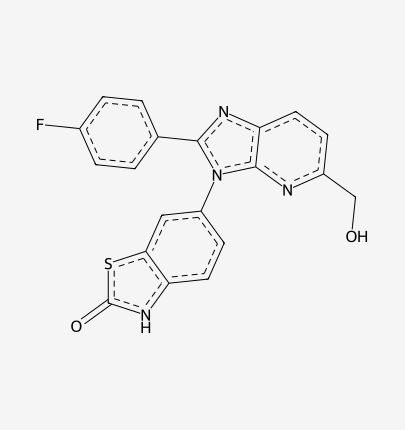 O=c1[nH]c2ccc(-n3c(-c4ccc(F)cc4)nc4ccc(CO)nc43)cc2s1